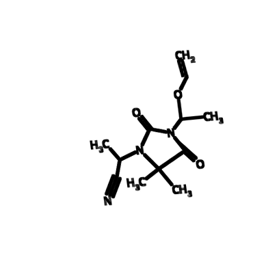 C=COC(C)N1C(=O)N(C(C)C#N)C(C)(C)C1=O